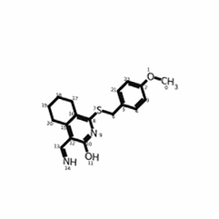 COc1ccc(CSc2nc(O)c(C=N)c3c2CCCC3)cc1